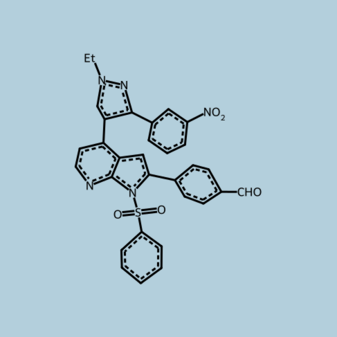 CCn1cc(-c2ccnc3c2cc(-c2ccc(C=O)cc2)n3S(=O)(=O)c2ccccc2)c(-c2cccc([N+](=O)[O-])c2)n1